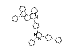 c1ccc(-c2ccc(-c3cc(-c4ccc(-c5nc6ccccc6c6c5ccc5c6c6ccccc6n5-c5ccccc5)cc4)nc(-c4ccccc4)n3)cc2)cc1